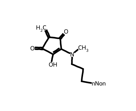 C=C1C(=O)C(O)=C(N(C)CCCCCCCCCCCC)C1=O